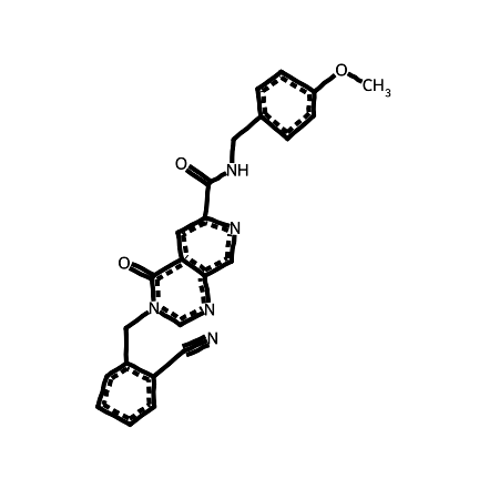 COc1ccc(CNC(=O)c2cc3c(=O)n(Cc4ccccc4C#N)cnc3cn2)cc1